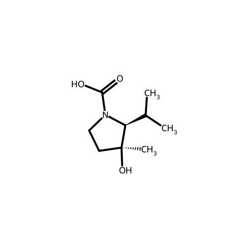 CC(C)[C@@H]1N(C(=O)O)CC[C@]1(C)O